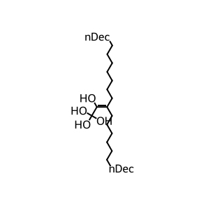 CCCCCCCCCCCCCCCCCC(CCCCCCCCCCCCCCCC)=C(O)C(O)(O)O